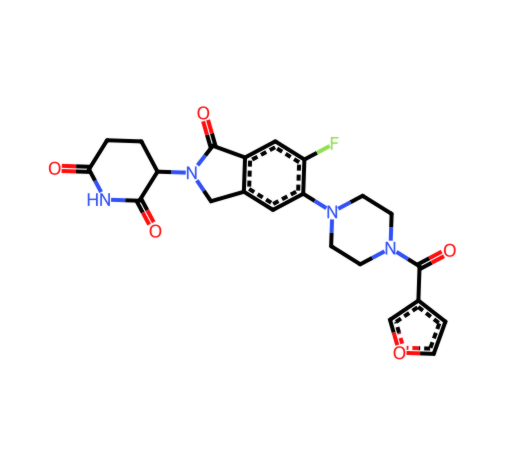 O=C1CCC(N2Cc3cc(N4CCN(C(=O)c5ccoc5)CC4)c(F)cc3C2=O)C(=O)N1